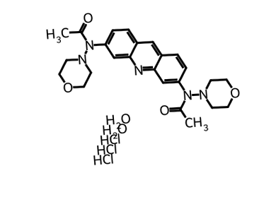 CC(=O)N(c1ccc2cc3ccc(N(C(C)=O)N4CCOCC4)cc3nc2c1)N1CCOCC1.Cl.Cl.Cl.O.O